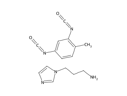 Cc1ccc(N=C=O)cc1N=C=O.NCCCn1ccnc1